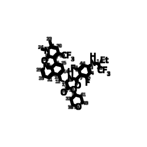 CC[C@@H](Nc1cc(F)c(C(=O)N[C@@H](Cc2ccc(-c3c(C(F)(F)F)cc(C)n(C)c3=O)c3ncccc23)C(=O)OC2CCOCC2)c(F)c1)C(F)(F)F